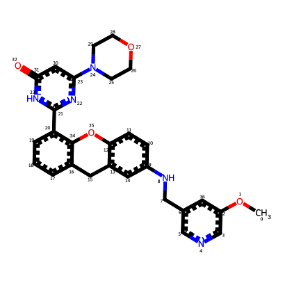 COc1cncc(CNc2ccc3c(c2)Cc2cccc(-c4nc(N5CCOCC5)cc(=O)[nH]4)c2O3)c1